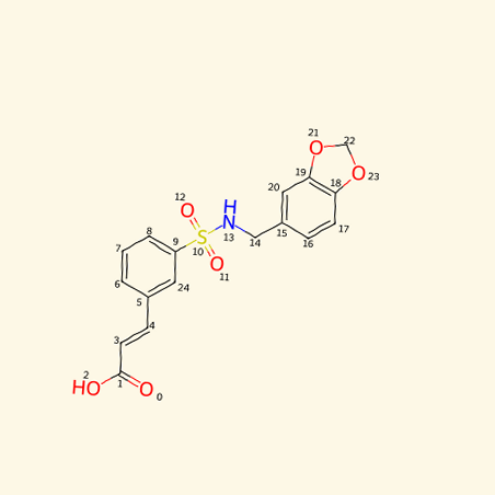 O=C(O)C=Cc1cccc(S(=O)(=O)NCc2ccc3c(c2)OCO3)c1